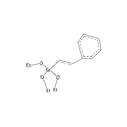 CCO[Si](/C=C/c1ccccc1)(OCC)OCC